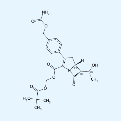 C[C@@H](O)[C@H]1C(=O)N2C(C(=O)OCOC(=O)C(C)(C)C)=C(c3ccc(COC(N)=O)cc3)C[C@H]12